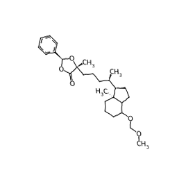 COCOC1CCC[C@]2(C)C1CC[C@@H]2[C@H](C)CCC[C@@]1(C)O[C@H](c2ccccc2)OC1=O